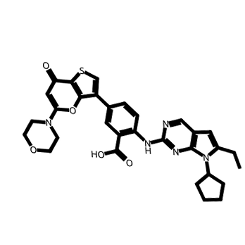 CCc1cc2cnc(Nc3ccc(-c4csc5c(=O)cc(N6CCOCC6)oc45)cc3C(=O)O)nc2n1C1CCCC1